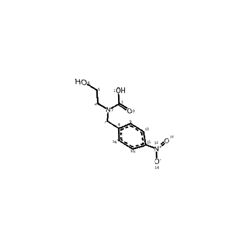 O=C(O)N(CCO)Cc1ccc([N+](=O)[O-])cc1